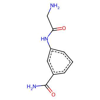 NCC(=O)Nc1cccc(C(N)=O)c1